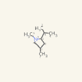 CC1CC(C(C)C)N(C)C1